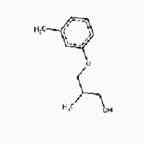 Cc1cccc(OCC(C)CO)c1